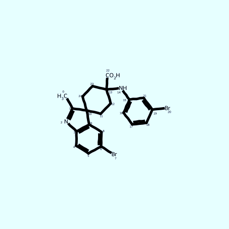 CC1=Nc2ccc(Br)cc2C12CCC(Nc1cccc(Br)c1)(C(=O)O)CC2